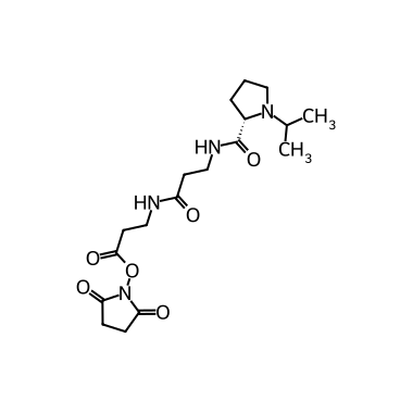 CC(C)N1CCC[C@H]1C(=O)NCCC(=O)NCCC(=O)ON1C(=O)CCC1=O